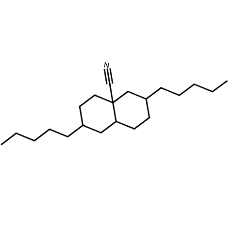 CCCCCC1CCC2(C#N)CC(CCCCC)CCC2C1